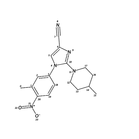 Cc1cc(-n2cc(C#N)nc2N2CCC(C)CC2)ccc1[N+](=O)[O-]